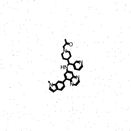 CC(=O)CN1CCC(C(Nc2cc(-c3ccc4ccn(C)c4c3)c3nccnc3c2)c2cccnc2)CC1